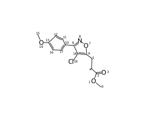 COC(=O)CCc1onc(-c2ccc(OC)cc2)c1Cl